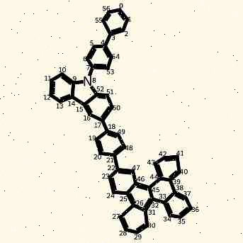 c1ccc(-c2ccc(-n3c4ccccc4c4cc(-c5ccc(-c6ccc7c8ccccc8c8c9ccccc9c9ccccc9c8c7c6)cc5)ccc43)cc2)cc1